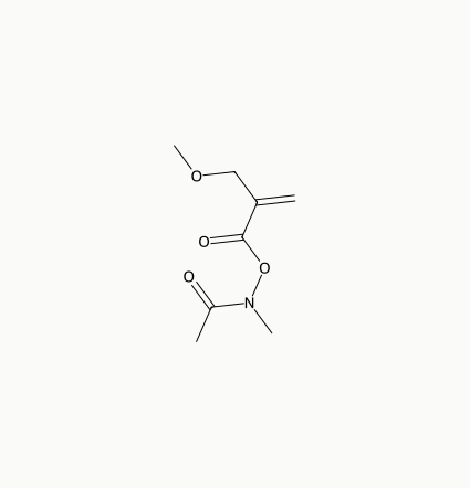 C=C(COC)C(=O)ON(C)C(C)=O